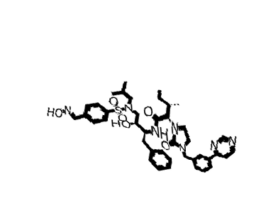 CC[C@H](C)[C@@H](C(=O)N[C@@H](Cc1ccccc1)[C@@H](O)CN(CC(C)C)S(=O)(=O)c1ccc(C=NO)cc1)N1CCN(Cc2cccc(-c3ccncn3)c2)C1=O